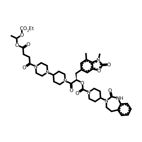 CCOC(=O)OC(C)OC(=O)CCC(=O)N1CCN(C2CCN(C(=O)[C@@H](Cc3cc(C)c4c(c3)oc(=O)n4C)OC(=O)N3CCC(N4CCc5ccccc5NC4=O)CC3)CC2)CC1